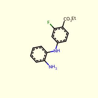 CCOC(=O)c1ccc(Nc2ccccc2N)cc1F